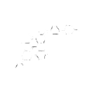 C=CC(=O)N1CCN(c2cc3cnc(Nc4ccc(N5CCN(C)CC5)cc4)nc3n(C)c2=O)C(c2ccccc2)C1